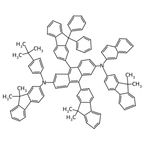 CC(C)(C)c1ccc(N(c2ccc3c(c2)C(C)(C)c2ccccc2-3)c2ccc3c(-c4ccc5c(c4)C(C)(C)c4ccccc4-5)c4cc(N(c5ccc6c(c5)C(C)(C)c5ccccc5-6)c5ccc6ccccc6c5)ccc4c(-c4ccc5c(c4)C(c4ccccc4)(c4ccccc4)c4ccccc4-5)c3c2)cc1